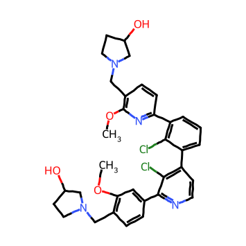 COc1cc(-c2nccc(-c3cccc(-c4ccc(CN5CCC(O)C5)c(OC)n4)c3Cl)c2Cl)ccc1CN1CCC(O)C1